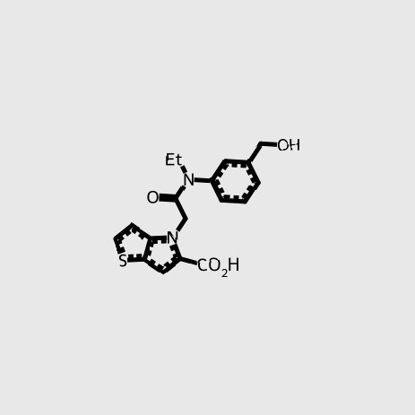 CCN(C(=O)Cn1c(C(=O)O)cc2sccc21)c1cccc(CO)c1